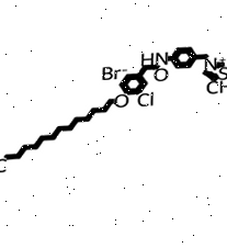 CCCCCCCCCCCCCCOc1ccc(CC(=O)Nc2ccc(C[n+]3csc(C)c3)cc2)cc1Cl.[Br-]